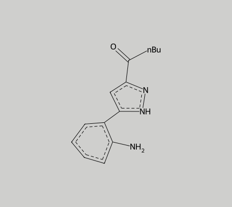 CCCCC(=O)c1cc(-c2ccccc2N)[nH]n1